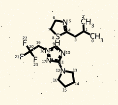 CC(C)CC1=NCC[SH]1c1nc(N2CCCC2)nn1CC(F)(F)F